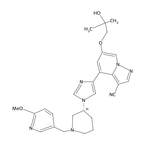 COc1ccc(CN2CCC[C@@H](n3cnc(-c4cc(OCC(C)(C)O)cn5ncc(C#N)c45)c3)C2)cn1